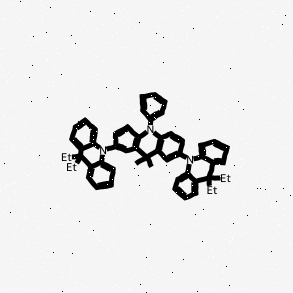 CCC1(CC)c2ccccc2N(c2ccc3c(c2)C(C)(C)c2cc(N4c5ccccc5C(CC)(CC)c5ccccc54)ccc2N3c2ccccc2)c2ccccc21